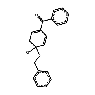 O=C(C1=CCC(Cl)(SCc2ccccc2)C=C1)c1ccccc1